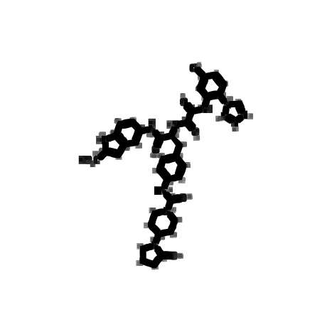 O=C(Nc1cc(Cl)ccc1-n1cnnn1)C(=O)N[C@@H](Cc1ccc(NC(=O)N2CCC(N3CCCC3=O)CC2)cc1)C(=O)Nc1ccc2[nH]c(C(=O)O)cc2c1